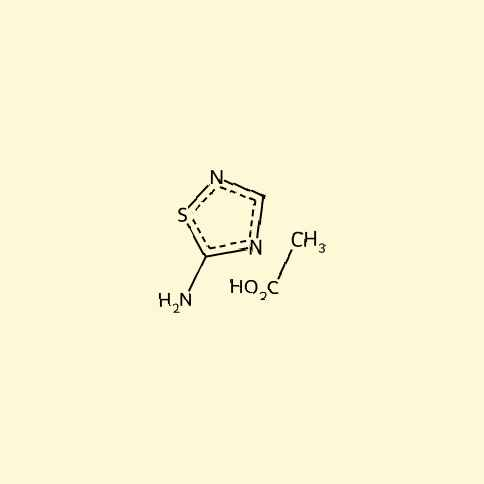 CC(=O)O.Nc1ncns1